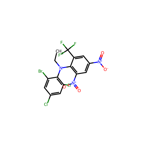 CCN(c1c(Cl)cc(Cl)cc1Br)c1c([N+](=O)[O-])cc([N+](=O)[O-])cc1C(F)(F)F